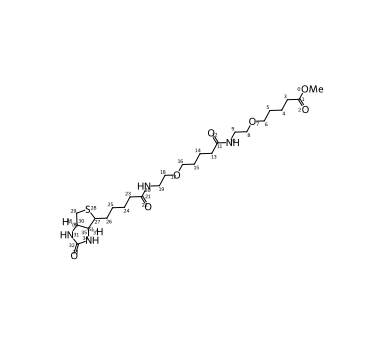 COC(=O)CCCCOCCNC(=O)CCCCOCCNC(=O)CCCCC1SC[C@@H]2NC(=O)N[C@H]12